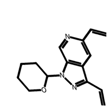 C=Cc1cc2c(C=C)nn(C3CCCCO3)c2cn1